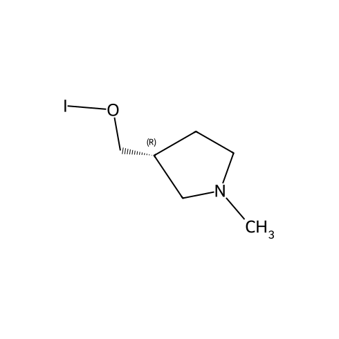 CN1CC[C@@H](COI)C1